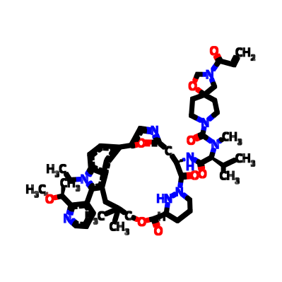 C=CC(=O)N1COC2(CCN(C(=O)N(C)[C@H](C(=O)N[C@H]3Cc4ncc(o4)-c4ccc5c(c4)c(c(-c4cccnc4[C@H](C)OC)n5CC)CC(C)(C)COC(=O)[C@@H]4CCCN(N4)C3=O)C(C)C)CC2)C1